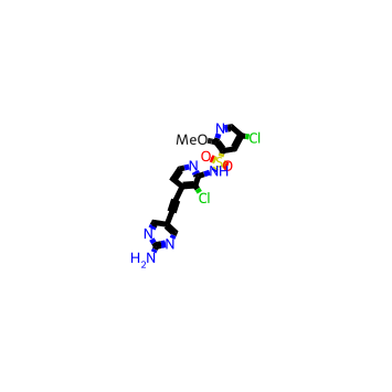 COc1ncc(Cl)cc1S(=O)(=O)Nc1nccc(C#Cc2cnc(N)nc2)c1Cl